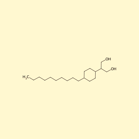 CCCCCCCCCCC1CCC(C(CO)CO)CC1